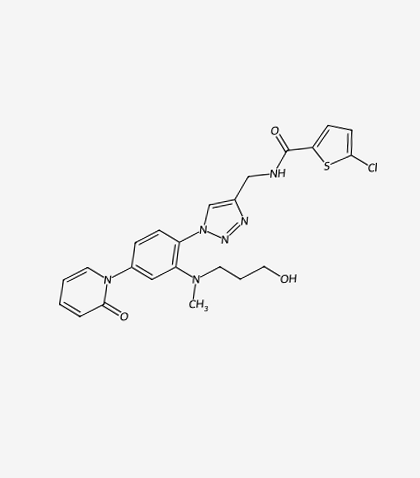 CN(CCCO)c1cc(-n2ccccc2=O)ccc1-n1cc(CNC(=O)c2ccc(Cl)s2)nn1